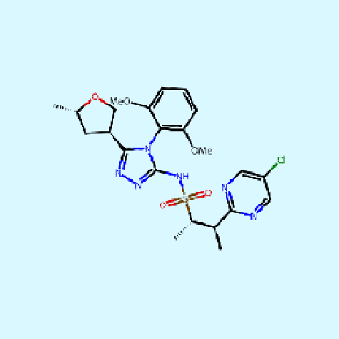 COc1cccc(OC)c1-n1c(NS(=O)(=O)[C@@H](C)[C@H](C)c2ncc(Cl)cn2)nnc1[C@@H]1CO[C@@H](C)C1